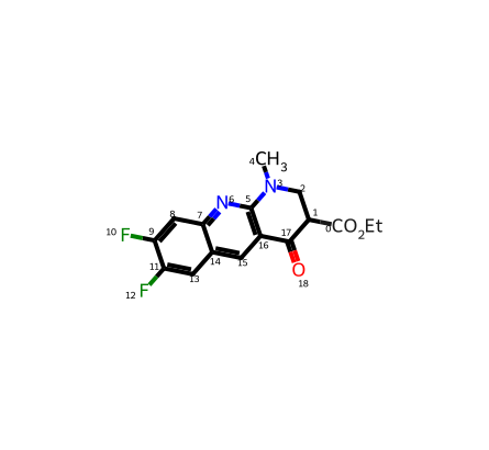 CCOC(=O)C1CN(C)c2nc3cc(F)c(F)cc3cc2C1=O